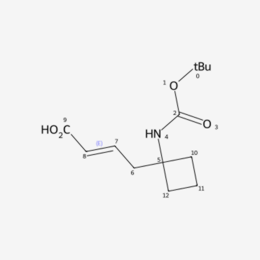 CC(C)(C)OC(=O)NC1(C/C=C/C(=O)O)CCC1